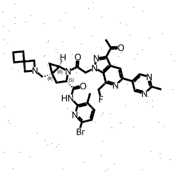 CC(=O)c1nn(CC(=O)N2[C@H](C(=O)Nc3nc(Br)ccc3C)C[C@@]3(CN4CC5(CCC5)C4)C[C@@H]23)c2c(CF)nc(-c3cnc(C)nc3)cc12